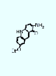 CCOc1ccc2[nH]c3ccc(N)c(=O)c-3cc2c1